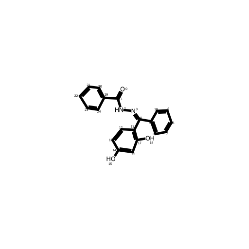 O=C(N/N=C(/c1ccccc1)c1ccc(O)cc1O)c1ccccc1